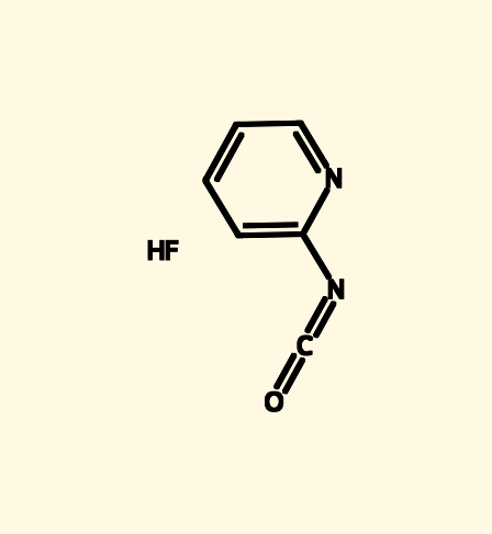 F.O=C=Nc1ccccn1